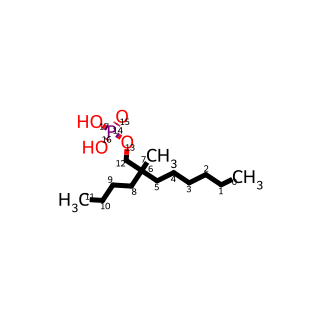 CCCCCCC(C)(CCCC)COP(=O)(O)O